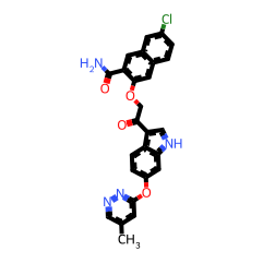 Cc1cnnc(Oc2ccc3c(C(=O)COc4cc5ccc(Cl)cc5cc4C(N)=O)c[nH]c3c2)c1